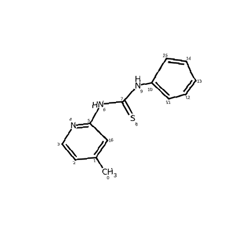 Cc1ccnc(NC(=S)Nc2ccccc2)c1